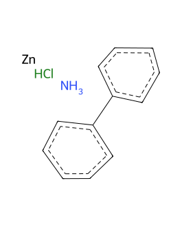 Cl.N.[Zn].c1ccc(-c2ccccc2)cc1